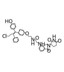 O=C(CNc1cccc2c1CN(C1CCC(=O)NC1=O)C2=O)NCCOc1ccc(C(=C(CCCl)c2ccccc2)c2ccc(O)cc2)cc1